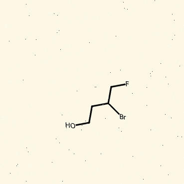 OCCC(Br)CF